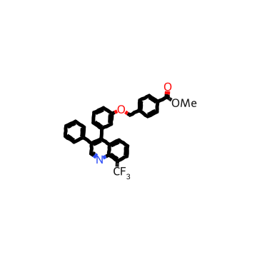 COC(=O)c1ccc(COc2cccc(-c3c(-c4ccccc4)cnc4c(C(F)(F)F)cccc34)c2)cc1